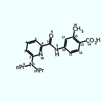 CCCN(c1cccc(C(=O)Nc2ccc(C(=O)O)c(C)c2)n1)C(C)C